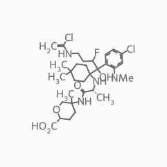 C=C(Cl)NCCC(F)C(O)(c1ccc(Cl)cc1NC)C1(N[C@H](C)C(=O)NC2(C)CC[C@@H](C(=O)O)OC2)CCC(C)(C)CC1